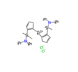 CC(C)N(C(C)C)[Si](C)(C)C1=[C]([Zr+2][C]2=C([Si](C)(C)N(C(C)C)C(C)C)C=CC2)CC=C1.[Cl-].[Cl-]